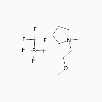 COCC[N+]1(C)CCCC1.F[B-](F)(F)C(F)(F)F